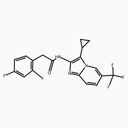 O=C(Cc1ccc(F)cc1F)Nc1nc2ccc(C(F)(F)F)cn2c1C1CC1